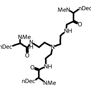 CCCCCCCCCCC(NC)C(=O)CNCCN(CCNC(=O)C(CCCCCCCCCC)NC)CCNC(=O)C(CCCCCCCCCC)NC